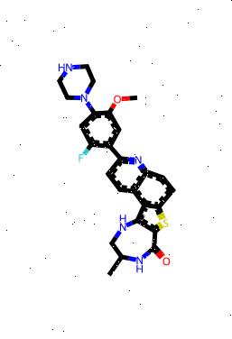 COc1cc(-c2ccc3c(ccc4sc5c(c43)NCC(C)NC5=O)n2)c(F)cc1N1CCNCC1